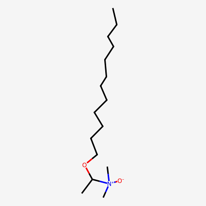 CCCCCCCCCCCCOC(C)[N+](C)(C)[O-]